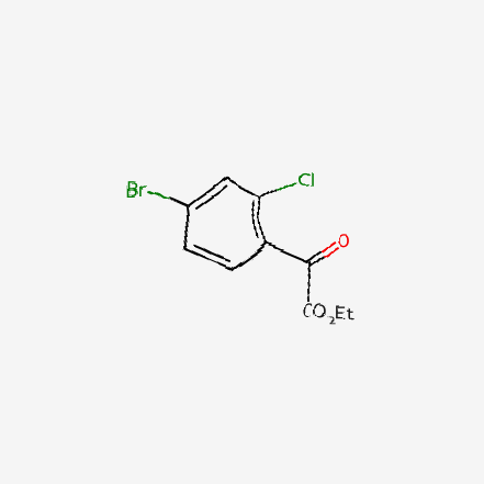 CCOC(=O)C(=O)c1ccc(Br)cc1Cl